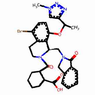 CC(Oc1ccc(Br)c2c1[C@@H](CN1Cc3ccccc3C1=O)N(C(=O)C1CCCCC1C(=O)O)CC2)c1cn(C)nn1